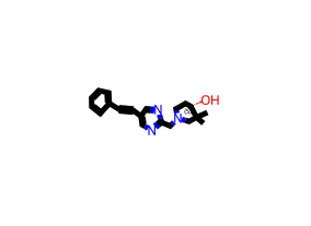 CC1(C)CN(Cc2ncc(C#Cc3ccccc3)cn2)CC[C@@H]1O